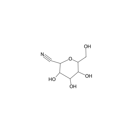 N#CC1OC(CO)C(O)C(O)C1O